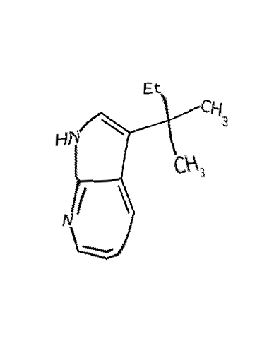 CCC(C)(C)c1c[nH]c2ncccc12